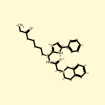 CCC(=O)CCCCC[C@H](NC(=O)CN1CCc2ccccc2C1)c1ncc(-c2ccccc2)[nH]1